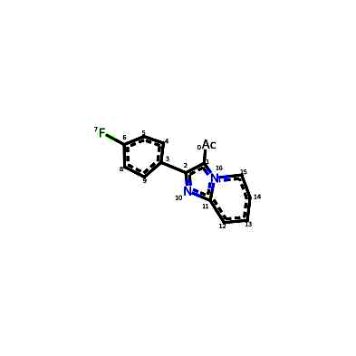 CC(=O)c1c(-c2ccc(F)cc2)nc2ccccn12